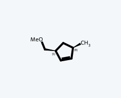 COC[C@@H]1C=C[C@H](C)C1